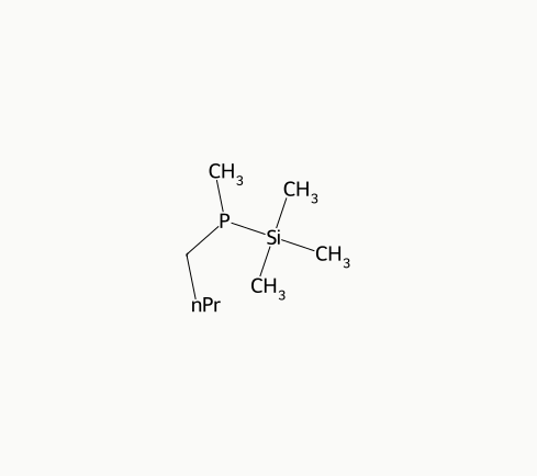 CCCCP(C)[Si](C)(C)C